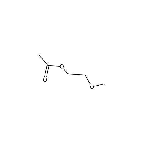 [CH2]OCCOC(C)=O